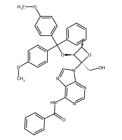 COc1ccc(C(O[C@H]2[C@@H](F)O[C@@]2(CO)n2cnc3c(NC(=O)c4ccccc4)ncnc32)(c2ccccc2)c2ccc(OC)cc2)cc1